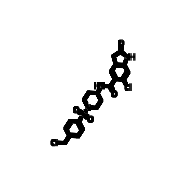 O=C1Cc2cc(C(=O)NC3CCN(S(=O)(=O)c4ccc(CCl)cc4)CC3)c(Cl)cc2N1